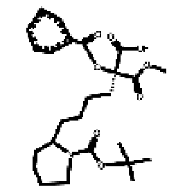 COC(=O)[C@@](CCCCC1CCCCN1C(=O)OC(C)(C)C)(OC(=O)c1ccccc1)C(=O)O